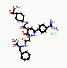 COC(=O)C(Cc1ccccc1)NC(=O)Cn1nc(-c2ccc(C(=N)N)cc2)cc(C(=O)N[C@H]2CC[C@H](C(=O)OC)CC2)c1=O.Cl